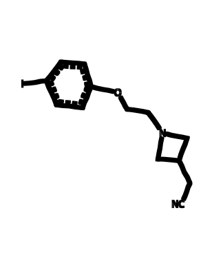 N#CCC1CN(CCOc2ccc(I)cc2)C1